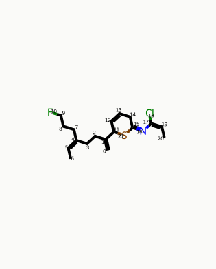 C=C(CC/C(=C\C)CCCF)C1C=CC/C(=N\C(Cl)=C/C)S1